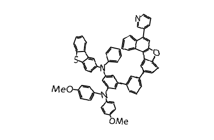 COc1ccc(N(c2ccc(OC)cc2)c2cc(-c3cccc(-c4ccc5oc6cc(-c7cccnc7)c7ccccc7c6c5c4)c3)cc(N(c3ccccc3)c3ccc4sc5ccccc5c4c3)c2)cc1